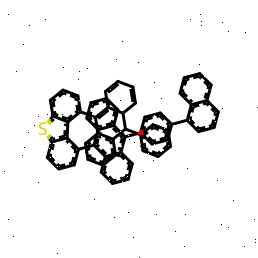 C1=CC2=C(c3cccc4sc5cccc(-c6c7ccccc7c(-c7ccc(-c8cccc9ccccc89)cc7)c7ccccc67)c5c34)c3ccccc3C(c3ccccc3)C2C=C1